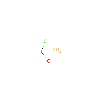 OCCl.P